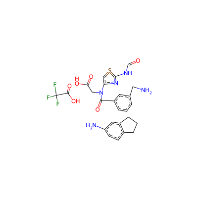 NCc1cccc(C(=O)N(CC(=O)O)c2csc(NC=O)n2)c1.Nc1ccc2c(c1)CCC2.O=C(O)C(F)(F)F